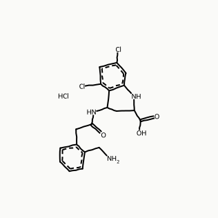 Cl.NCc1ccccc1CC(=O)NC1CC(C(=O)O)Nc2cc(Cl)cc(Cl)c21